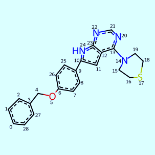 c1ccc(COc2ccc(-c3cc4c(N5CCSCC5)ncnc4[nH]3)cc2)cc1